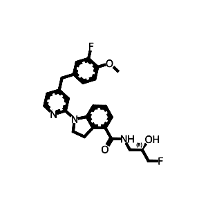 COc1ccc(Cc2ccnc(N3CCc4c(C(=O)NC[C@@H](O)CF)cccc43)c2)cc1F